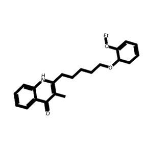 CCOC1=CC=CCC1OCCCCCc1[nH]c2ccccc2c(=O)c1C